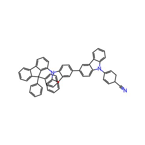 N#CC1C=CC(n2c3ccccc3c3cc(-c4ccc5c(c4)c4ccccc4n5-c4cccc5c4C(c4ccccc4)(c4ccccc4)c4ccccc4-5)ccc32)=CC1